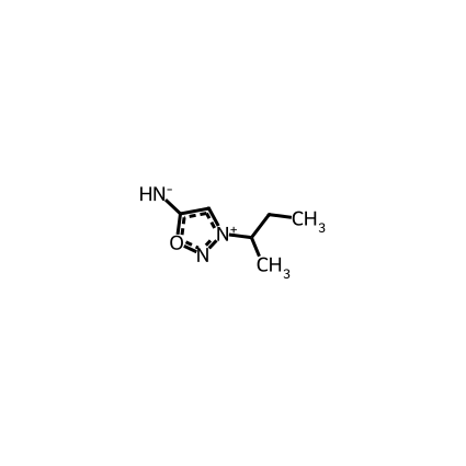 CCC(C)[n+]1cc([NH-])on1